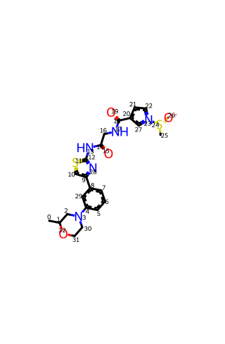 CC1CN(c2cccc(-c3csc(NC(=O)CNC(=O)c4ccn([S+](C)[O-])c4)n3)c2)CCO1